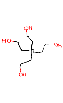 OC[CH2][Ti]([CH2]CO)([CH2]CO)[CH2]CO